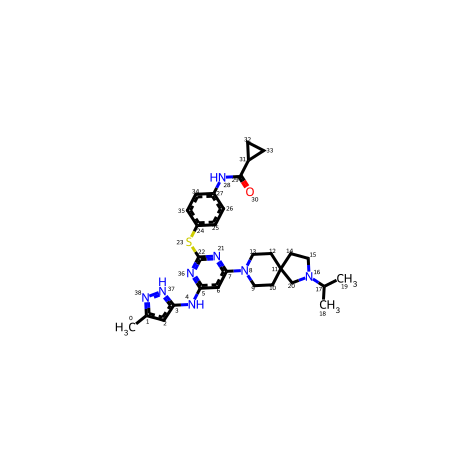 Cc1cc(Nc2cc(N3CCC4(CC3)CCN(C(C)C)C4)nc(Sc3ccc(NC(=O)C4CC4)cc3)n2)[nH]n1